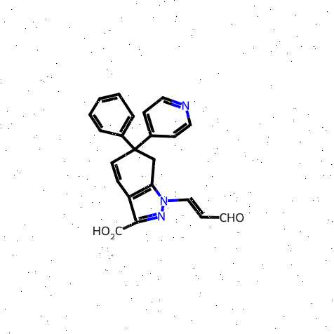 O=CC=Cn1nc(C(=O)O)c2c1CC(c1ccccc1)(c1ccncc1)C=C2